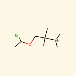 CC(Br)OCC(C)(C)[SiH](C)C